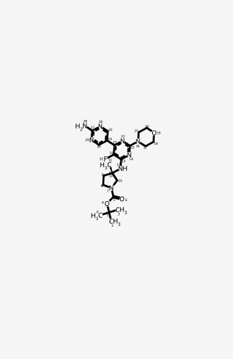 CC(C)(C)OC(=O)N1CC[C@](C)(Nc2nc(N3CCOCC3)nc(-c3cnc(N)nc3)c2F)C1